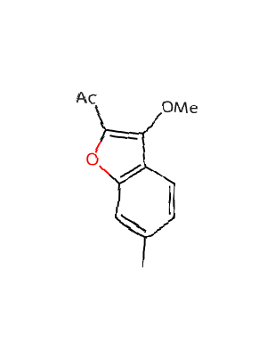 COc1c(C(C)=O)oc2cc(C)ccc12